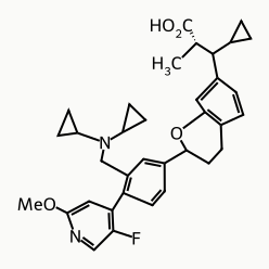 COc1cc(-c2ccc(C3CCc4ccc(C(C5CC5)[C@H](C)C(=O)O)cc4O3)cc2CN(C2CC2)C2CC2)c(F)cn1